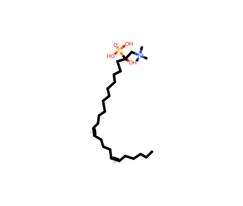 CCCCC/C=C\CCC/C=C\CCCCCCCCCCC(O)(C[N+](C)(C)C)P(=O)(O)O